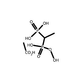 CC(=O)O.CC(P(=O)(O)O)P(=O)(O)OO